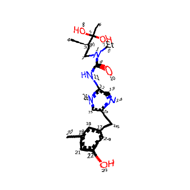 CCN(C[C@@H](C)C(C)(O)O)C(=O)Nc1cnc(Cc2cc(C)cc(O)c2)cn1